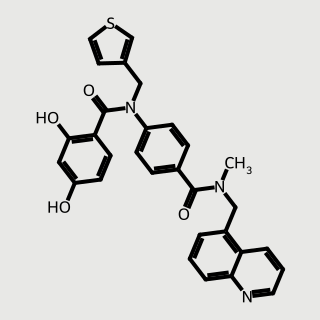 CN(Cc1cccc2ncccc12)C(=O)c1ccc(N(Cc2ccsc2)C(=O)c2ccc(O)cc2O)cc1